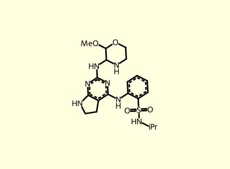 COC1OCCNC1Nc1nc2c(c(Nc3ccccc3S(=O)(=O)NC(C)C)n1)CCN2